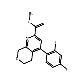 C=C(OCC)c1cc(-c2ccc(F)cc2F)c2c(n1)COCC2